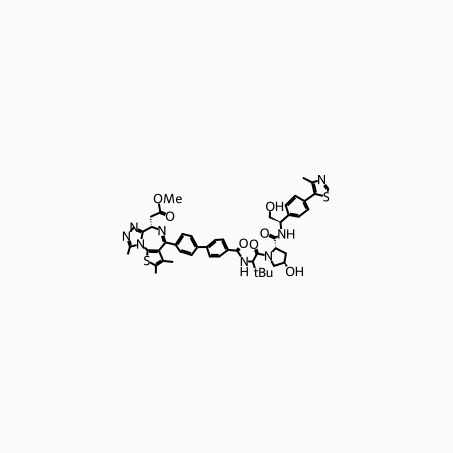 COC(=O)C[C@@H]1N=C(c2ccc(-c3ccc(C(=O)NC(C(=O)N4C[C@H](O)C[C@H]4C(=O)N[C@@H](CO)c4ccc(-c5scnc5C)cc4)C(C)(C)C)cc3)cc2)c2c(sc(C)c2C)-n2c(C)nnc21